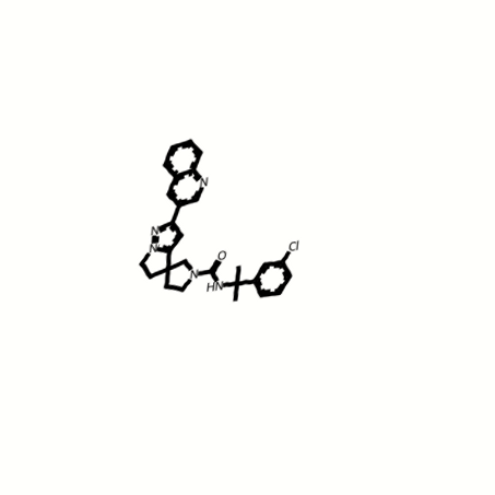 CC(C)(NC(=O)N1CCC2(CCn3nc(-c4cnc5ccccc5c4)cc32)C1)c1cccc(Cl)c1